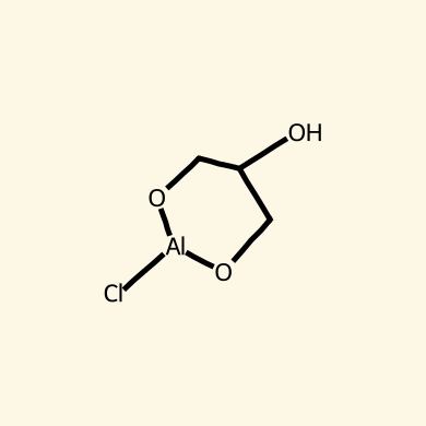 OC1C[O][Al]([Cl])[O]C1